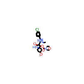 CCn1nc(-c2ccc(Cl)cc2)nc1C1=C(OC(=O)N2CCOCC2)C2(CCC(OC)CC2)NC1=O